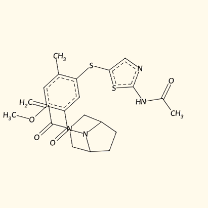 C=CC(=O)N1CC2CCC(C1)N2C(=O)c1cc(Sc2cnc(NC(C)=O)s2)c(C)cc1OC